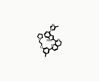 Cc1cc(OCCN2CCCC2)cc(-c2ccc3c(n2)C(c2cc4c(-n5cnc(C)c5)cccc4[nH]2)=NCC3)c1